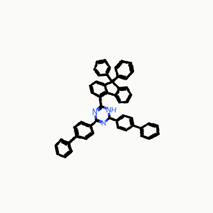 c1ccc(-c2ccc(C3=NC(c4ccc(-c5ccccc5)cc4)NC(c4cccc5c4-c4ccccc4C5(c4ccccc4)c4ccccc4)=N3)cc2)cc1